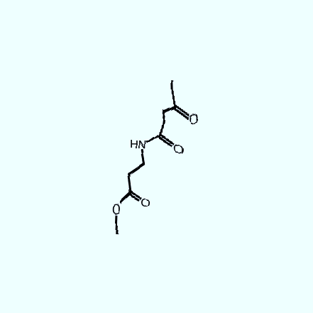 COC(=O)CCNC(=O)CC(C)=O